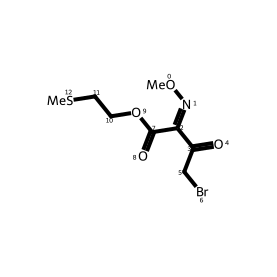 CON=C(C(=O)CBr)C(=O)OCCSC